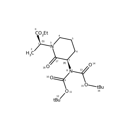 CCOC(=O)[C@H](C)N1CCC[C@@H](N(C(=O)OC(C)(C)C)C(=O)OC(C)(C)C)C1=O